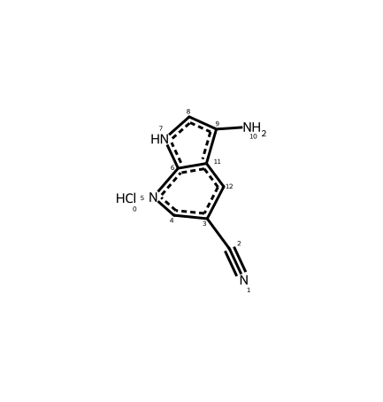 Cl.N#Cc1cnc2[nH]cc(N)c2c1